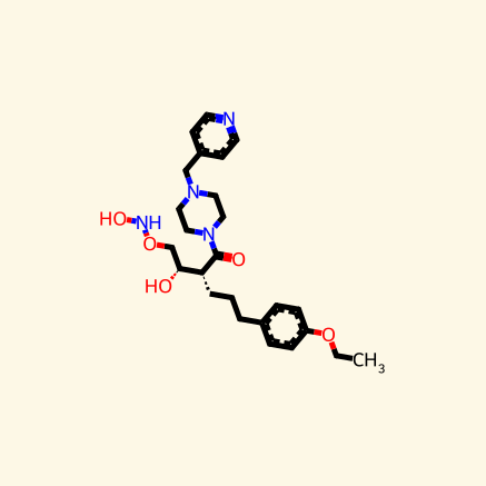 CCOc1ccc(CCC[C@@H](C(=O)N2CCN(Cc3ccncc3)CC2)[C@H](O)CONO)cc1